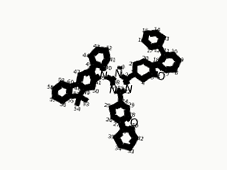 CN1C(C2C=c3oc4cccc(-c5ccccc5)c4c3=CC2)=NC(c2ccc3c(c2)oc2ccccc23)=NC1n1c2ccccc2c2cc3c(cc21)C(C)(C)c1ccccc1-3